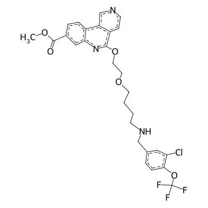 COC(=O)c1ccc2c(c1)nc(OCCOCCCCNCc1ccc(OC(F)(F)F)c(Cl)c1)c1ccncc12